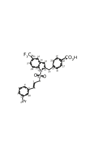 CC(C)c1cccc(C=CCS(=O)(=O)n2c(Cc3ccc(C(=O)O)cc3)cc3cc(C(F)(F)F)ccc32)c1